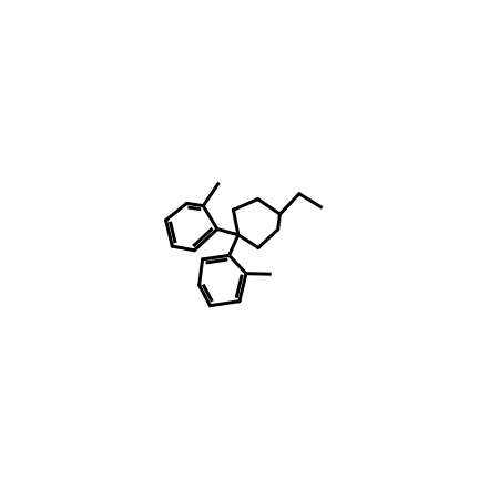 CCC1CCC(c2ccccc2C)(c2ccccc2C)CC1